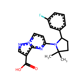 CC1(C)CCC(c2cccc(F)c2)N1c1ccn2ncc(C(=O)O)c2n1